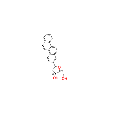 OC[C@H]1OC(c2ccc3c(ccc4c5ccccc5ccc34)c2)C[C@@H]1O